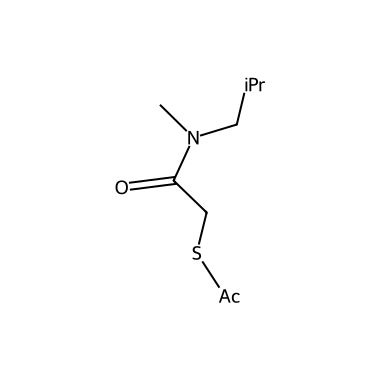 CC(=O)SCC(=O)N(C)CC(C)C